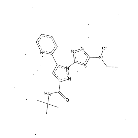 CC[S+]([O-])c1nnc(-n2nc(C(=O)NC(C)(C)C)cc2-c2ccccn2)s1